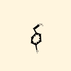 C=Cc1ccc([CH]C)cc1